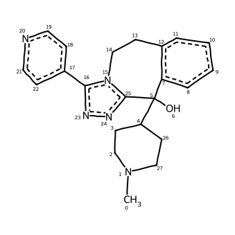 CN1CCC(C2(O)c3ccccc3CCn3c(-c4ccncc4)nnc32)CC1